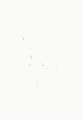 CCOC(=O)c1cccc(Sc2cnc(Nc3nc(C4CCN(C(C)=O)CC4)cs3)c(Oc3ccccc3)c2)n1